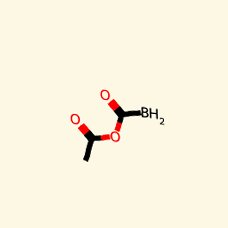 BC(=O)OC(C)=O